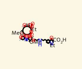 CC[C@@H]1OC(=O)[C@H](C)[C@H](O[C@@H]2C[C@](C)(OC)[C@H](OCCCNCCCc3ccc4c(c3)c(=O)c(C(=O)O)cn4CC)[C@H](C)O2)[C@@H](C)[C@H](O[C@H]2O[C@@H](C)C[C@@H](N(C)C)[C@H]2O)[C@](C)(OC)C[C@H](C)C(=O)[C@H](C)[C@H]2OC(=O)O[C@@]12C